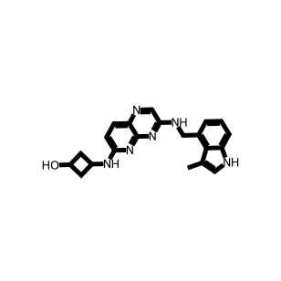 Cc1c[nH]c2cccc(CNc3cnc4ccc(NC5CC(O)C5)nc4n3)c12